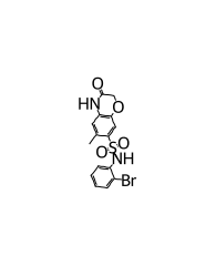 Cc1cc2c(cc1S(=O)(=O)Nc1ccccc1Br)OCC(=O)N2